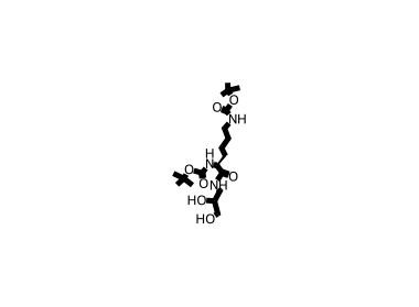 CC(C)(C)OC(=O)NCCCC[C@H](NC(=O)OC(C)(C)C)C(=O)NCC(O)CO